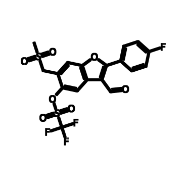 CS(=O)(=O)Cc1cc2oc(-c3ccc(F)cc3)c(C=O)c2cc1OS(=O)(=O)C(F)(F)F